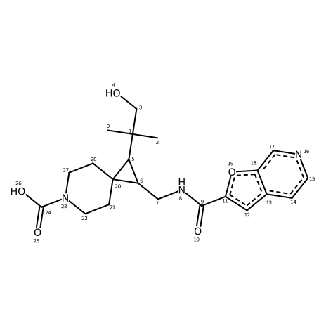 CC(C)(CO)C1C(CNC(=O)c2cc3ccncc3o2)C12CCN(C(=O)O)CC2